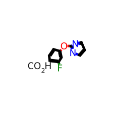 O=C(O)c1ccc(Oc2ncccn2)cc1F